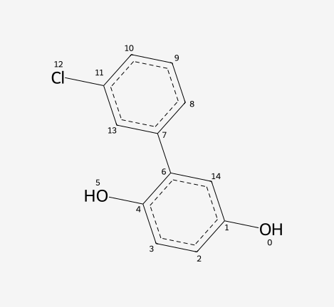 Oc1ccc(O)c(-c2cccc(Cl)c2)c1